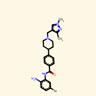 [2H]c1ccc(N)c(NC(=O)c2ccc(C3CCN(Cc4cn(C)nc4C)CC3)cc2)c1